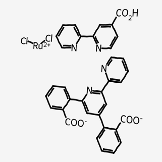 O=C(O)c1ccnc(-c2ccccn2)c1.O=C([O-])c1ccccc1-c1cc(-c2ccccn2)nc(-c2ccccc2C(=O)[O-])c1.[Cl][Ru+2][Cl]